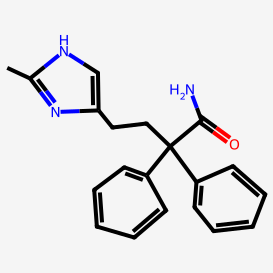 Cc1nc(CCC(C(N)=O)(c2ccccc2)c2ccccc2)c[nH]1